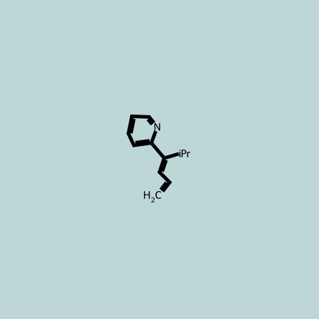 C=C/C=C(/c1ccccn1)C(C)C